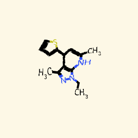 CCn1nc(C)c2c1NC(C)=CC2c1cccs1